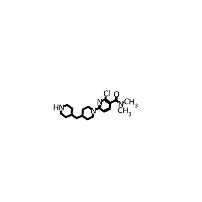 CN(C)C(=O)c1ccc(N2CCC(CC3CCNCC3)CC2)nc1Cl